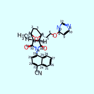 C[C@]12CC[C@](CCOc3ccncn3)(O1)[C@@H]1C(=O)N(c3ccc(C#N)c4ccccc34)C(=O)[C@@H]12